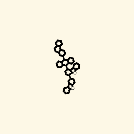 c1ccc2c(c1)ccc1cc(-c3c4ccccc4c(-c4ccc(-c5ccc6oc7ccccc7c6c5)c5oc6ccccc6c45)c4ccccc34)ccc12